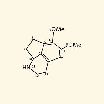 COc1cc2c3c(c1OC)CCC3NCC2